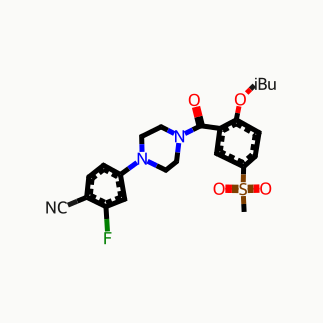 CCC(C)Oc1ccc(S(C)(=O)=O)cc1C(=O)N1CCN(c2ccc(C#N)c(F)c2)CC1